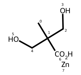 CC(CO)(CO)C(=O)O.[Zn]